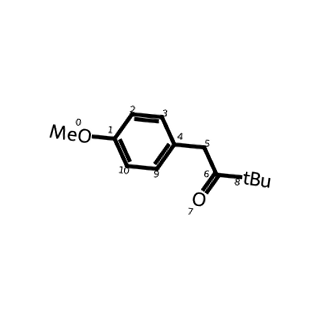 COc1ccc(CC(=O)C(C)(C)C)cc1